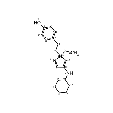 CC[N+]1(CCc2ccc(O)cc2)C=C(NC2CCCCC2)C=N1